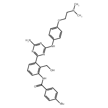 CN(C)CCOc1ccc(Nc2nc(N)nc(-c3cccc(NC(=O)c4ccc(C(C)(C)C)cc4)c3CO)n2)cc1